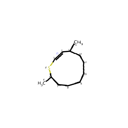 CC1/C=C\SC(C)CCCCCC1